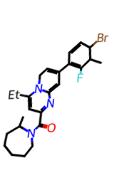 CCC1=CC(C(=O)N2CCCCCC2C)=NC2=CC(C3=C(F)C(C)C(Br)C=C3)=CCN12